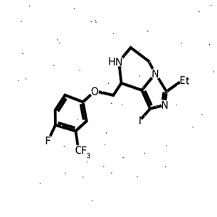 CCc1nc(I)c2n1CCNC2COc1ccc(F)c(C(F)(F)F)c1